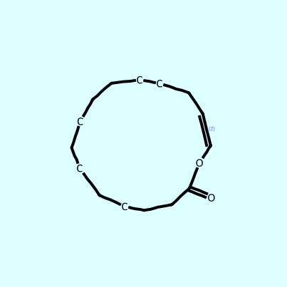 O=C1CCCCCCCCCCCC/C=C\O1